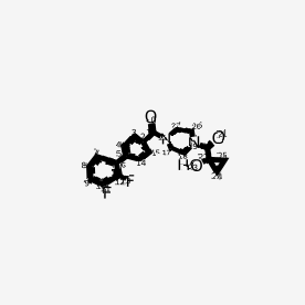 O=C(c1ccc(-c2cccc(F)c2F)cc1)N1CCN(C(=O)C2(O)CC2)CC1